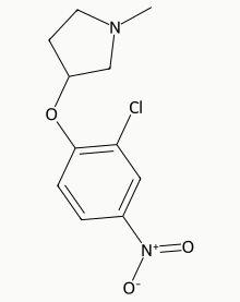 CN1CCC(Oc2ccc([N+](=O)[O-])cc2Cl)C1